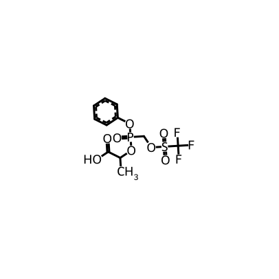 CC(OP(=O)(COS(=O)(=O)C(F)(F)F)Oc1ccccc1)C(=O)O